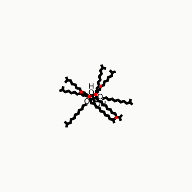 CC(C)CCCCCCCCCOC(CCCCCCCCCC(C)C)(CCCCCCCCCC(C)C)C(CO)(C(O)(CCCCCCCCCC(C)C)CCCCCCCCCC(C)C)C(CCCCCCCCCC(C)C)(CCCCCCCCCC(C)C)OCCCCCCCCCC(C)C